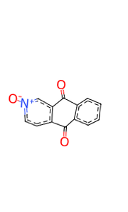 O=C1c2ccccc2C(=O)c2c[n+]([O-])ccc21